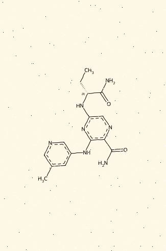 CC[C@@H](Nc1cnc(C(N)=O)c(Nc2cncc(C)c2)n1)C(N)=O